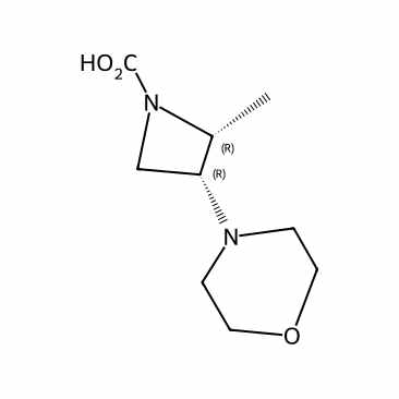 C[C@@H]1[C@H](N2CCOCC2)CN1C(=O)O